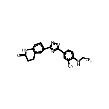 N#Cc1cc(-c2nc(-c3ccc4c(c3)CCC(=O)N4)no2)ccc1NCC(F)(F)F